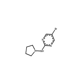 Brc1cnc(NN2CCCC2)nc1